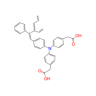 C=C/C=C(\C=C)C(=Cc1ccc(N(c2ccc(CC(=O)O)cc2)c2ccc(CC(=O)O)cc2)cc1)c1ccccc1